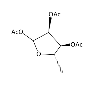 CC(=O)OC1O[C@@H](C)[C@H](OC(C)=O)[C@@H]1OC(C)=O